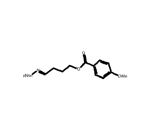 CCCCCCCCCN=CCCCOC(=O)c1ccc(OC)cc1